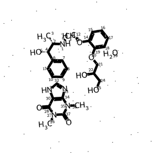 CN[C@@H](C)[C@@H](O)c1ccccc1.COc1ccccc1OCC(O)CO.Cn1c(=O)c2[nH]cnc2n(C)c1=O.O